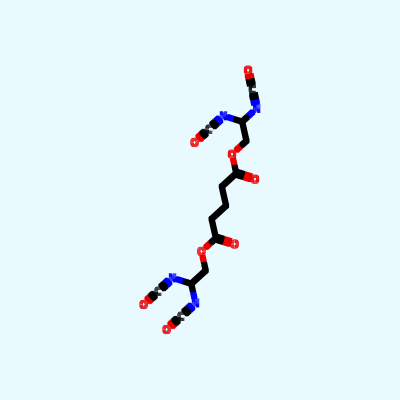 O=C=NC(COC(=O)CCCC(=O)OCC(N=C=O)N=C=O)N=C=O